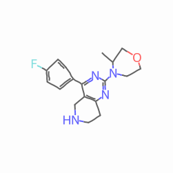 CC1COCCN1c1nc2c(c(-c3ccc(F)cc3)n1)CNCC2